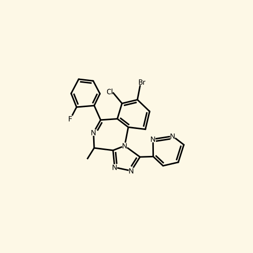 CC1N=C(c2ccccc2F)c2c(ccc(Br)c2Cl)-n2c(-c3cccnn3)nnc21